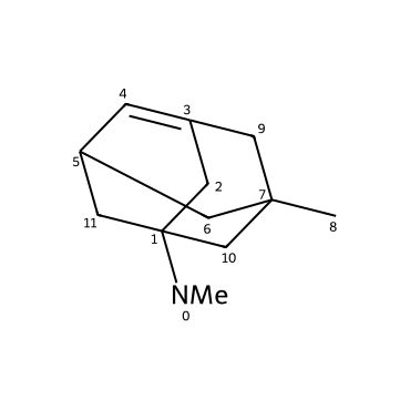 CNC12CC3=CC(CC(C)(C3)C1)C2